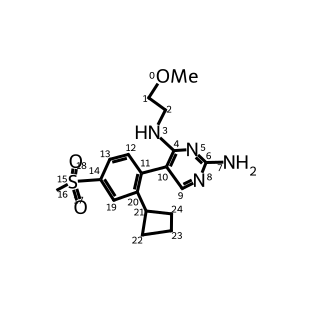 COCCNc1nc(N)ncc1-c1ccc(S(C)(=O)=O)cc1C1CCC1